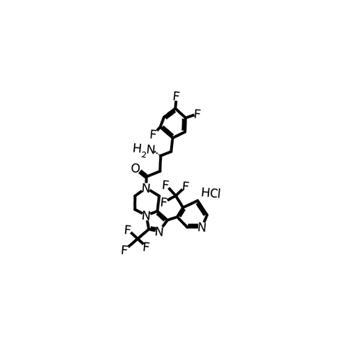 Cl.N[C@@H](CC(=O)N1CCn2c(C(F)(F)F)nc(-c3cnccc3C(F)(F)F)c2C1)Cc1cc(F)c(F)cc1F